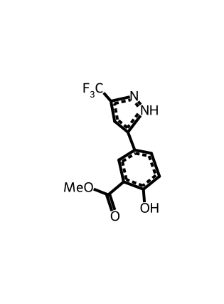 COC(=O)c1cc(-c2cc(C(F)(F)F)n[nH]2)ccc1O